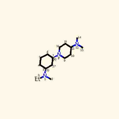 CCN(C)[C@H]1CCC[C@@H](N2CCC(N(C)C)CC2)C1